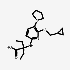 CCC(CC)(Nc1ccc(N2CCCC2)c(OCC2CC2)n1)C(=O)O